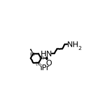 CC(C)[C@@H]1CC[C@@H](C)C[C@H]1C(=O)NCCCCN